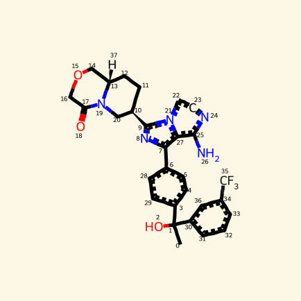 CC(O)(c1ccc(-c2nc([C@@H]3CC[C@H]4COCC(=O)N4C3)n3ccnc(N)c23)cc1)c1cccc(C(F)(F)F)c1